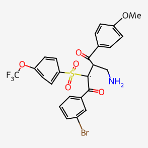 COc1ccc(C(=O)C(CN)[C](C(=O)c2cccc(Br)c2)S(=O)(=O)c2ccc(OC(F)(F)F)cc2)cc1